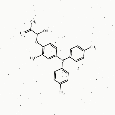 C=C(C)C(O)Oc1ccc(N(c2ccc(C)cc2)c2ccc(C)cc2)cc1C